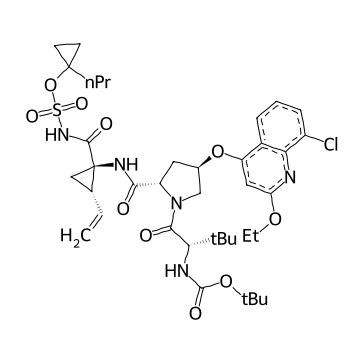 C=C[C@@H]1C[C@]1(NC(=O)[C@@H]1C[C@@H](Oc2cc(OCC)nc3c(Cl)cccc23)CN1C(=O)[C@@H](NC(=O)OC(C)(C)C)C(C)(C)C)C(=O)NS(=O)(=O)OC1(CCC)CC1